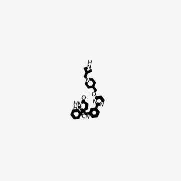 N#CC1(C2(Cc3cccc(-c4nccc(OCC5CCN(CC6CNC6)CC5)n4)c3)C=CC(=O)NN2)C=CC=CC1